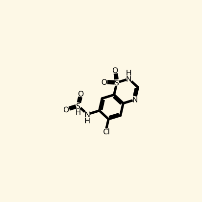 O=[SH](=O)Nc1cc2c(cc1Cl)N=CNS2(=O)=O